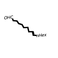 CCCCCCC=CCCCCCCCC=O